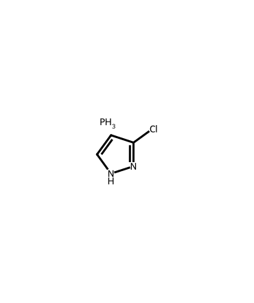 Clc1cc[nH]n1.P